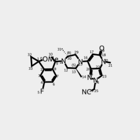 COC1(c2cc(F)ccc2C(C)N2C[C@H](C)N(c3cc(=O)n(C)c4cn(CC#N)nc34)C[C@H]2C)CC1